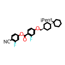 CCCC(C)C1([C@H]2CC[C@H](COc3ccc(C(=O)Oc4ccc(C#N)c(F)c4)c(F)c3)CC2)CCCCC1